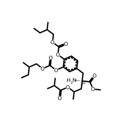 CCC(C)COC(=O)Oc1ccc(C[C@](N)(CC(C)OC(=O)C(C)C)C(=O)OC)cc1OC(=O)OCC(C)CC